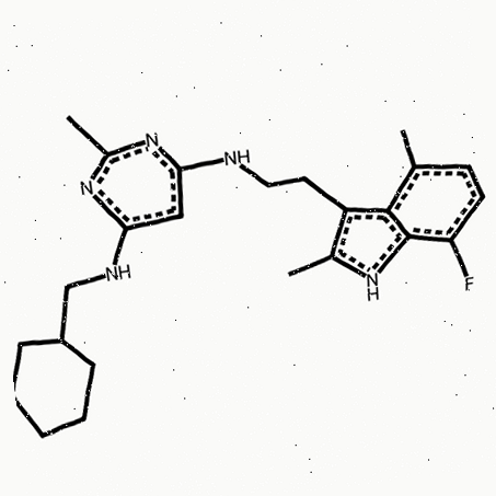 Cc1nc(NCCc2c(C)[nH]c3c(F)ccc(C)c23)cc(NCC2CCCCC2)n1